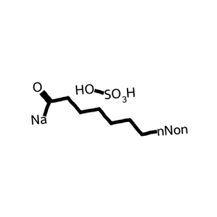 CCCCCCCCCCCCCCC[C](=O)[Na].O=S(=O)(O)O